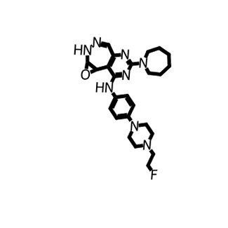 FCCN1CCN(c2ccc(Nc3nc(N4CCCCCC4)nc4c3C3OC3NN=C4)cc2)CC1